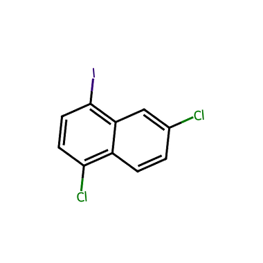 Clc1ccc2c(Cl)ccc(I)c2c1